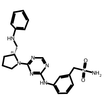 NS(=O)(=O)Cc1cccc(Nc2ncnc(N3CCC[C@@H]3CNc3ccccc3)n2)c1